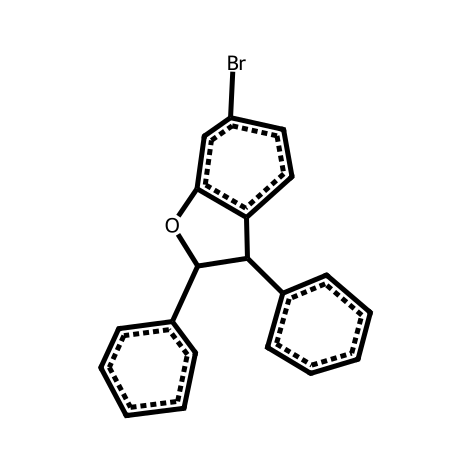 Brc1ccc2c(c1)OC(c1ccccc1)C2c1ccccc1